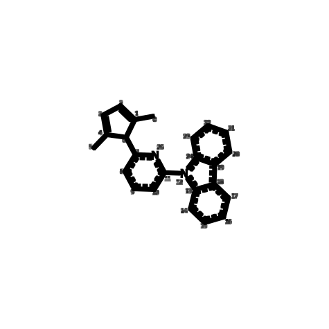 CC1=CC=C(C)C1c1cccc(-n2c3ccccc3c3ccccc32)n1